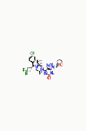 CC[C@@H]1CN(c2nc(=O)n(C)c3c2nnn3C[C@H]2CCCO2)[C@@H](C)CN1C(c1ccc(Cl)cc1)C1CC(F)(F)C1